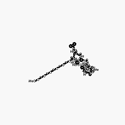 CC[C@H](C)[C@@H]([C@@H](CC(=O)N1CCC[C@H]1[C@H](OC)[C@@H](C)C(=O)N[C@H](C)[C@@H](O)c1ccccc1)OC)N(C)C(=O)[C@@H](NC(=O)[C@H](C(C)C)N(C)C(=O)OCc1ccc(O[C@@H]2O[C@H](C(=O)O)[C@@H](O)[C@H](O)[C@H]2O)c(CNC(=O)CCNC(=O)[C@H](CCCCNC(=O)CCOCCOCCOCCOCCOCCOCCOCCOCCOCCOCCOCCOC)NC(=O)OCC2c3ccccc3-c3ccccc32)c1)C(C)C